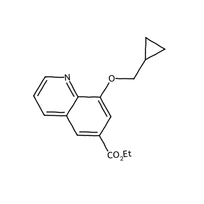 CCOC(=O)c1cc(OCC2CC2)c2ncccc2c1